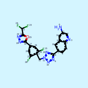 Nc1cnc2ccc(-c3nnn(Cc4c(F)cc(-c5nnc(C(F)F)o5)cc4F)n3)cc2c1